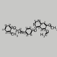 COc1cc2ncnc(Oc3ccc(NCCOc4ccccc4C)cc3)c2cc1OC